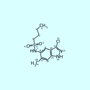 CCCCS(=O)(=O)Nc1cc2c(Cl)n[nH]c2cc1C